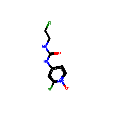 O=C(NCCCl)Nc1cc[n+]([O-])c(Cl)c1